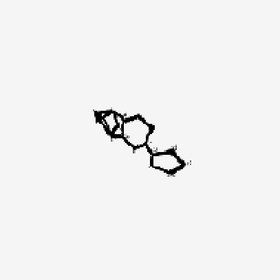 C1=CC23CC1(C2)C1CCC(C2CCCC2)CC13